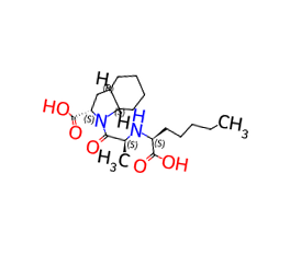 CCCCC[C@H](N[C@@H](C)C(=O)N1[C@H](C(=O)O)C[C@H]2CCCC[C@@H]21)C(=O)O